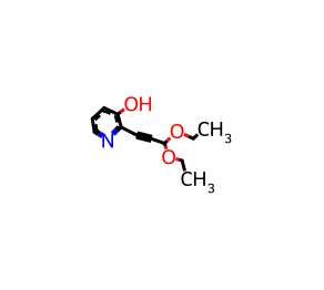 CCOC(C#Cc1ncccc1O)OCC